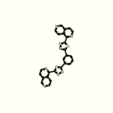 c1cc(-c2nnc(-c3nccc4cnccc34)o2)cc(-c2nnc(-c3nccc4cnccc34)o2)c1